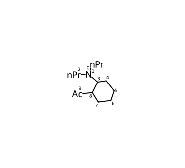 CCCN(CCC)C1CCCCC1C(C)=O